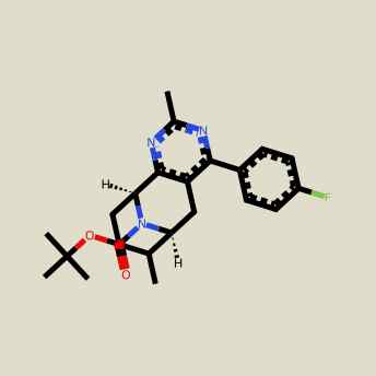 Cc1nc(-c2ccc(F)cc2)c2c(n1)[C@@H]1CCC(C)[C@H](C2)N1C(=O)OC(C)(C)C